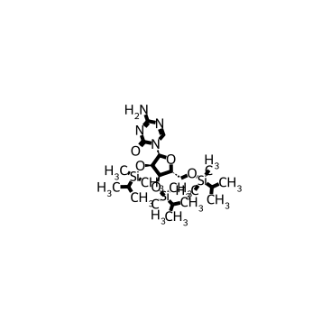 CC(C)[Si](C)(C)OC[C@H]1O[C@@H](n2cnc(N)nc2=O)[C@H](O[Si](C)(C)C(C)C)[C@@H]1O[Si](C)(C)C(C)C